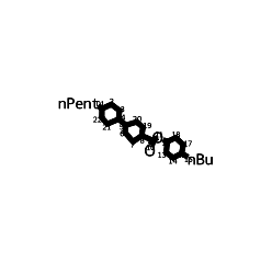 CCCCCC1CCC(C2CCC(C(=O)OC3CCC(CCCC)CC3)CC2)CC1